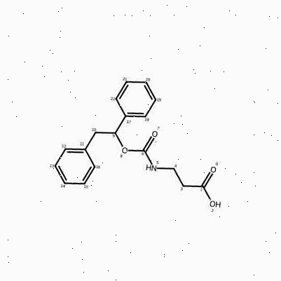 O=C(O)CCNC(=O)OC(Cc1ccccc1)c1ccccc1